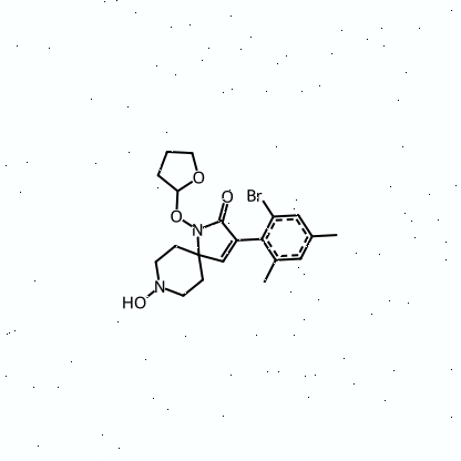 Cc1cc(C)c(C2=CC3(CCN(O)CC3)N(OC3CCCO3)C2=O)c(Br)c1